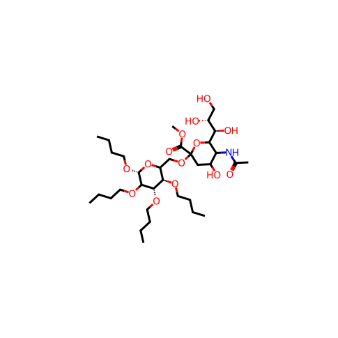 CCCCOC1[C@H](OCCCC)OC(COC2(C(=O)OC)CC(O)C(NC(C)=O)C([C@H](O)[C@H](O)CO)O2)[C@@H](OCCCC)[C@@H]1OCCCC